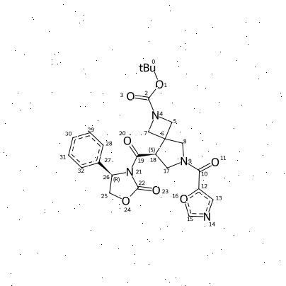 CC(C)(C)OC(=O)N1CC2(C1)CN(C(=O)c1cnco1)C[C@H]2C(=O)N1C(=O)OC[C@H]1c1ccccc1